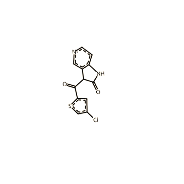 O=C1Nc2ccncc2C1C(=O)c1cc(Cl)cs1